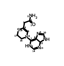 NC(=O)CC1=CN(C2=C3N=CNC3N=CN2)CCS1